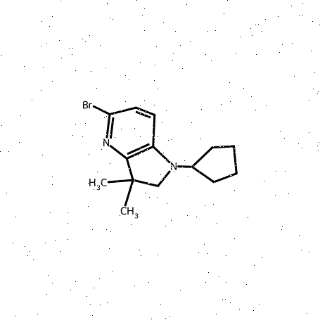 CC1(C)CN(C2CCCC2)c2ccc(Br)nc21